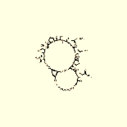 COOC(=O)C[C@@H]1NC(=O)[C@H](CCSC)NC(=O)[C@@H]2CCCN2C(=O)[C@@H]2CSCc3cc(cc(c3)OCCCCCCO/N=C/C(=O)N[C@@H](CCC(N)=O)C(=O)N2)CSC[C@@H](C(N)=O)NC(=O)[C@H]([C@@H](C)O)NC(=O)[C@@H]2CCCN2C(=O)C(C(C)C)NC1=O